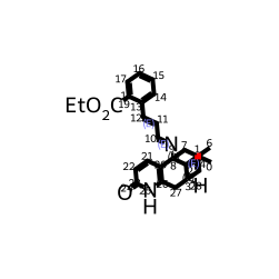 C/C=C1\[C@H]2C=C(C)C[C@]1(/N=C/C=C/c1ccccc1C(=O)OCC)c1ccc(=O)[nH]c1C2